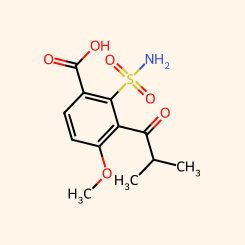 COc1ccc(C(=O)O)c(S(N)(=O)=O)c1C(=O)C(C)C